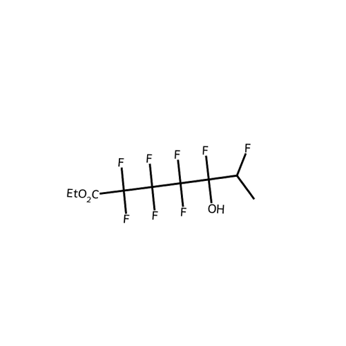 CCOC(=O)C(F)(F)C(F)(F)C(F)(F)C(O)(F)C(C)F